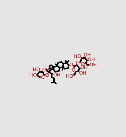 CC(C)=CCCC(C)(OC1OCC(O)C(O)C1O)C1CCC2(C)C1C(O)CC1C3(C)CCC(OC4OC(CO)C(O)C(O)C4OC4OC(CO)C(O)C(O)C4O)C(C)(C)C3CCC12C